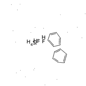 F.F.[SiH4].c1ccccc1.c1ccccc1